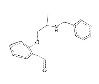 CC(COc1ccccc1C=O)NCc1ccccc1